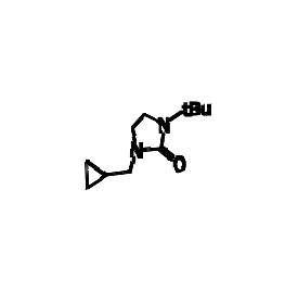 CC(C)(C)N1CCN(CC2CC2)C1=O